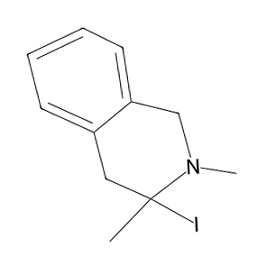 CN1Cc2ccccc2CC1(C)I